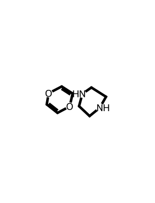 C1=COC=CO1.C1CNCCN1